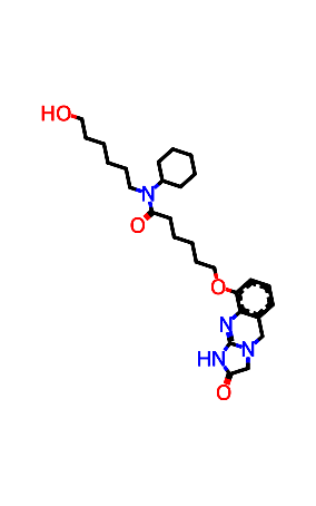 O=C1CN2Cc3cccc(OCCCCCC(=O)N(CCCCCCO)C4CCCCC4)c3N=C2N1